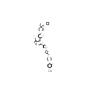 CCC1(C(=O)NC2CCC2)CCN(c2ccc(-c3nc(-c4cnn(C5CC(F)(CN6CCN(c7ccc([N+](=O)[O-])cc7F)CC6)C5)c4)cn4ncc(C#N)c34)cn2)CC1